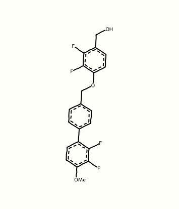 COc1ccc(-c2ccc(COc3ccc(CO)c(F)c3F)cc2)c(F)c1F